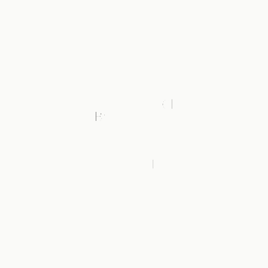 FC(Cl)Br